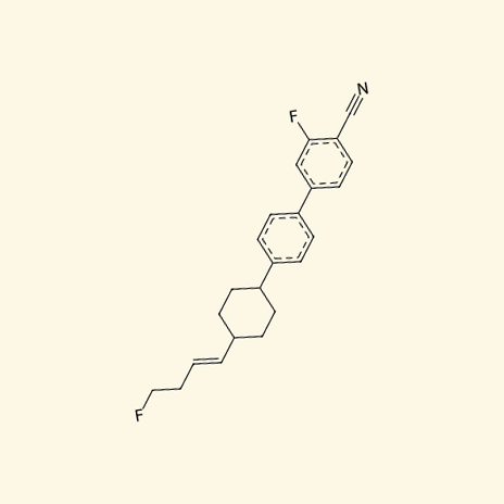 N#Cc1ccc(-c2ccc(C3CCC(C=CCCF)CC3)cc2)cc1F